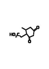 CC1CC(=O)CC(=O)C1CC(=O)O